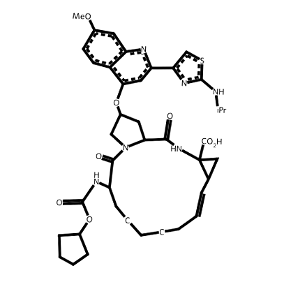 COc1ccc2c(OC3CC4C(=O)NC5(C(=O)O)CC5C=CCCCCCC(NC(=O)OC5CCCC5)C(=O)N4C3)cc(-c3csc(NC(C)C)n3)nc2c1